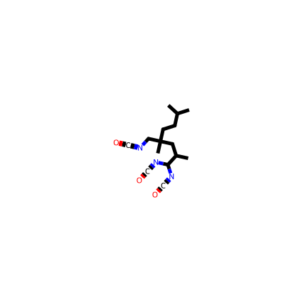 CC(C)CCC(C)(CN=C=O)CC(C)C(N=C=O)N=C=O